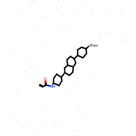 C=CC(=O)NC1CCC(C2CCC3CC(C4CCC(CCCCC)CC4)CCC3C2)CC1